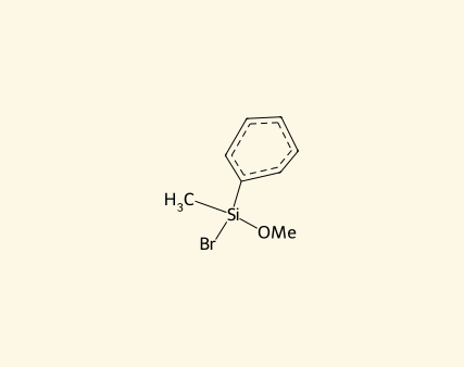 CO[Si](C)(Br)c1ccccc1